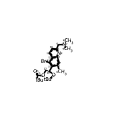 Cc1cc2nc(CN(C)C)ccc2c(Br)c1[C@H](COC(=O)C(C)(C)C)OC(C)(C)C